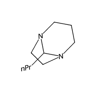 CCCC1N2CCCN1CC2